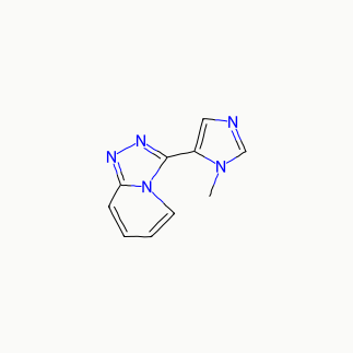 Cn1cncc1-c1nnc2ccccn12